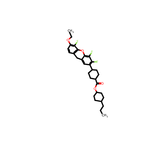 CCCC1CCC(OC(=O)C2CCC(c3cc4c(c(F)c3F)Oc3c(ccc(OCC)c3F)C4)CC2)CC1